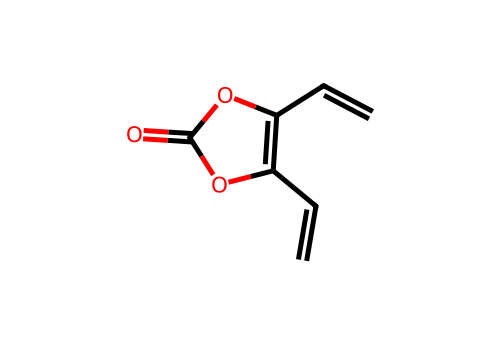 C=Cc1oc(=O)oc1C=C